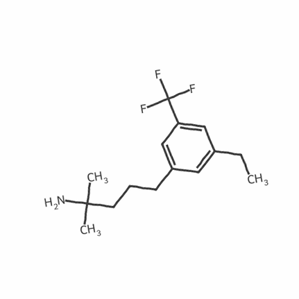 CCc1cc(CCCC(C)(C)N)cc(C(F)(F)F)c1